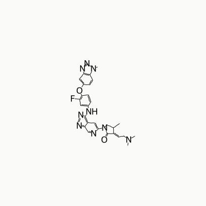 CC1CN(c2cc3c(Nc4ccc(Oc5ccc6c(c5)nnn6C)c(F)c4)ncnc3cn2)C(=O)/C1=C/CN(C)C